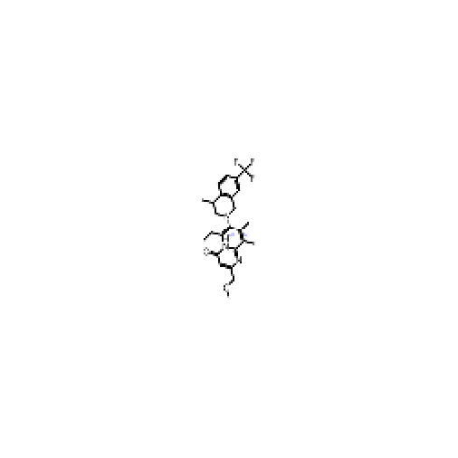 CC/C(C)=C(/C(C)=C(/C)c1nc(COC)cc(=O)[nH]1)N1Cc2cc(C(F)(F)F)ccc2C(C)C1